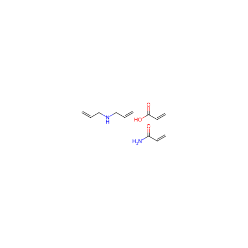 C=CC(=O)O.C=CC(N)=O.C=CCNCC=C